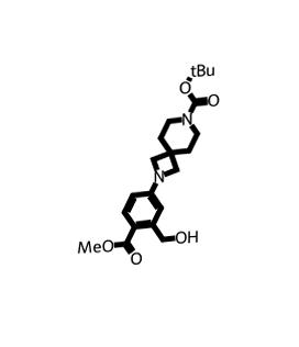 COC(=O)c1ccc(N2CC3(CCN(C(=O)OC(C)(C)C)CC3)C2)cc1CO